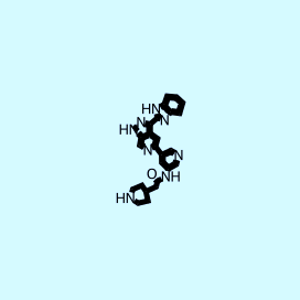 O=C(CC1CCNCC1)Nc1cncc(-c2cc3c(-c4nc5ccccc5[nH]4)n[nH]c3cn2)c1